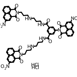 Cl.Cl.O=C(NCCCNCCCN1C(=O)c2cccc3cc([N+](=O)[O-])cc(c23)C1=O)c1cc(C(=O)NCCCNCCCN2C(=O)c3cccc4cc([N+](=O)[O-])cc(c34)C2=O)cc(N2C(=O)c3cccc4cc([N+](=O)[O-])cc(c34)C2=O)c1